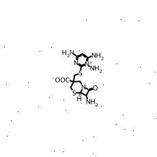 Nc1cc(N)[n+](N)c(SCC2(C(=O)[O-])CS[C@@H]3C(N)C(=O)N3C2)n1